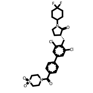 O=C(c1ccc(-c2cc(Cl)c(C[C@@H]3CCN(C4CCC(F)(F)CC4)C3=O)c(Cl)c2)cc1)N1CCS(=O)(=O)CC1